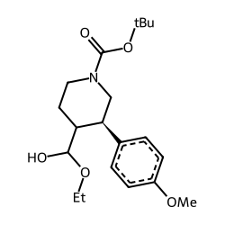 CCOC(O)C1CCN(C(=O)OC(C)(C)C)C[C@H]1c1ccc(OC)cc1